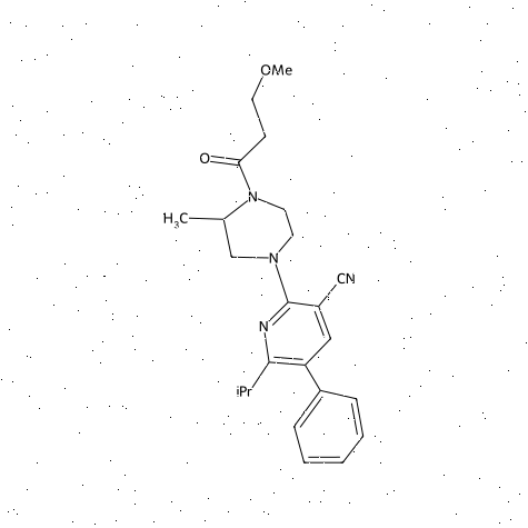 COCCC(=O)N1CCN(c2nc(C(C)C)c(-c3ccccc3)cc2C#N)CC1C